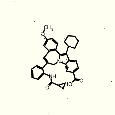 COc1ccc2c(c1)C=C(c1ccccc1NC(=O)C1CC1)Cn1c-2c(C2CCCCC2)c2ccc(C(=O)O)cc21